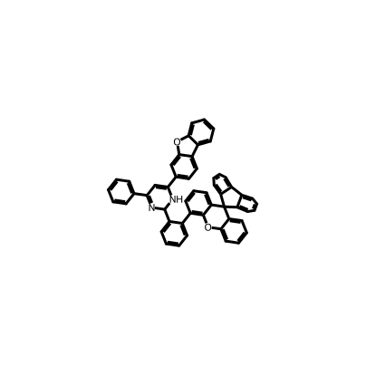 C1=C(c2ccc3c(c2)oc2ccccc23)NC(c2ccccc2-c2cccc3c2Oc2ccccc2C32c3ccccc3-c3ccccc32)N=C1c1ccccc1